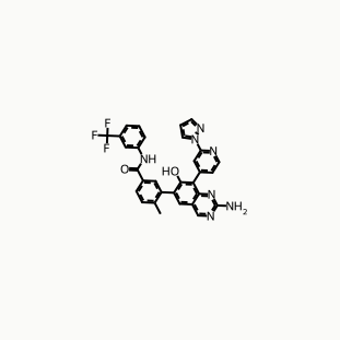 Cc1ccc(C(=O)Nc2cccc(C(F)(F)F)c2)cc1-c1cc2cnc(N)nc2c(-c2ccnc(-n3cccn3)c2)c1O